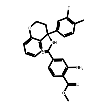 COC(=O)c1ccc(C(=O)N[C@]2(c3ccc(C)c(F)c3)CCOc3cccnc32)cc1N